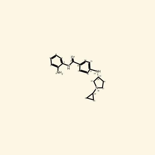 Nc1ccccc1NC(=O)c1ccc(N[C@@H]2CCN(C3CC3)C2)cc1